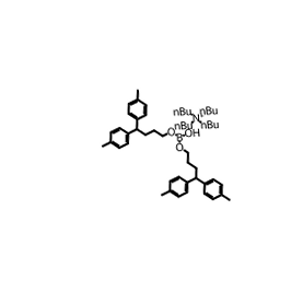 CCCC[N+](CCCC)(CCCC)CCCC.Cc1ccc(C(CCCOB(O)OCCCC(c2ccc(C)cc2)c2ccc(C)cc2)c2ccc(C)cc2)cc1